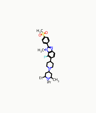 CCC1CC(N2CCC(c3ccc4nc(-c5ccc(S(C)(=O)=O)cc5)n(C)c4c3F)CC2)CC(C)N1C(C)C